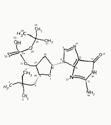 CC(C)(C)C[C@H]1O[C@@H](n2cnc3c(=O)[nH]c(N)nc32)CC1OP(O)(=S)OC(C)(C)C